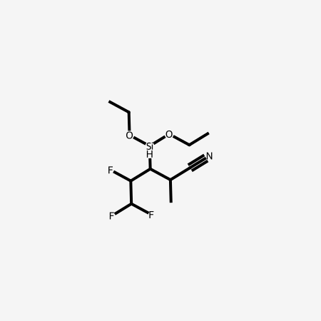 CCO[SiH](OCC)C(C(C)C#N)C(F)C(F)F